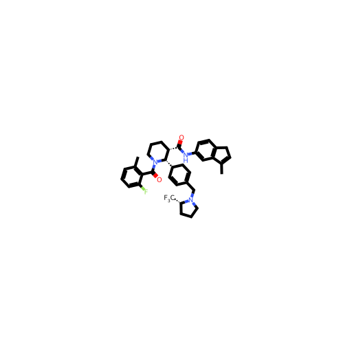 CC1=CCc2ccc(NC(=O)[C@H]3CCCN(C(=O)c4c(C)cccc4F)[C@H]3C3C=CC(CN4CCC[C@@H]4C(F)(F)F)=CC3)cc21